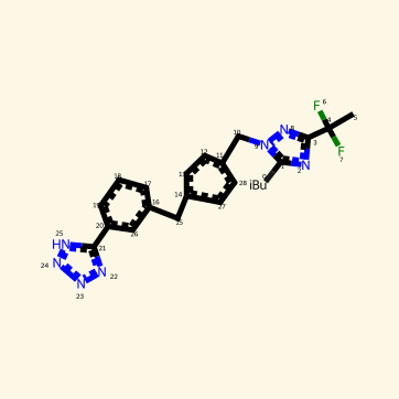 CCC(C)c1nc(C(C)(F)F)nn1Cc1ccc(Cc2cccc(-c3nnn[nH]3)c2)cc1